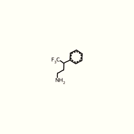 NCCC(c1ccccc1)C(F)(F)F